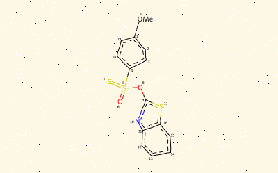 COc1ccc(S(=O)(=S)Oc2nc3ccccc3s2)cc1